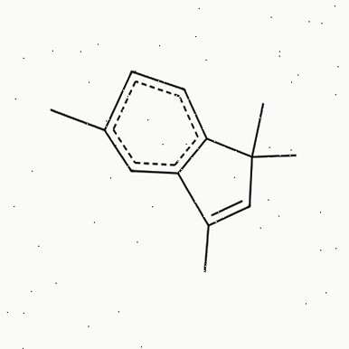 CC1=CC(C)(C)c2ccc(C)cc21